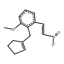 COc1cccc(C=C[N+](=O)[O-])c1CC1=CCCC1